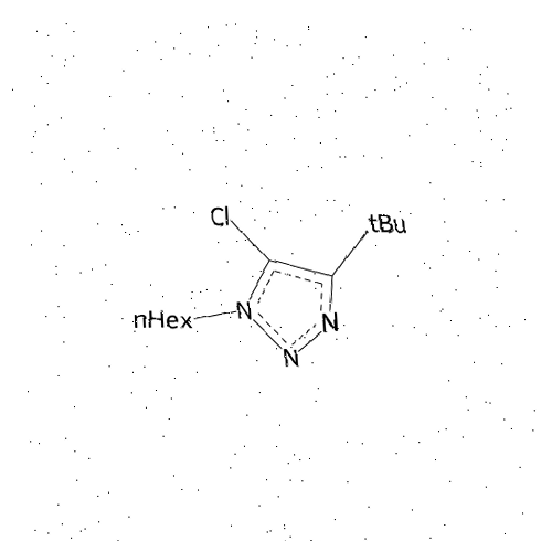 CCCCCCn1nnc(C(C)(C)C)c1Cl